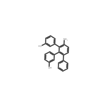 Nc1ccc(-c2ccccc2)c(-c2cccc(O)c2)c1-c1cccc(O)c1